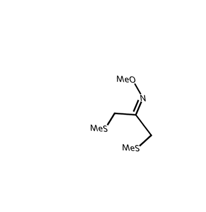 CON=C(CSC)CSC